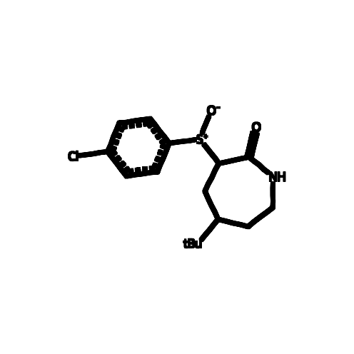 CC(C)(C)C1CCNC(=O)C([S+]([O-])c2ccc(Cl)cc2)C1